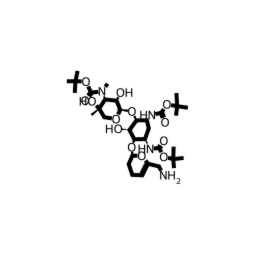 CN(C(=O)OC(C)(C)C)[C@@H]1[C@@H](O)[C@@H](O[C@@H]2[C@@H](O)[C@H](O[C@@H]3CCC=C(CN)O3)[C@@H](NC(=O)OC(C)(C)C)C[C@H]2NC(=O)OC(C)(C)C)OC[C@]1(C)O